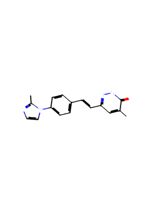 Cc1cc(/C=C/c2ccc(-n3ccnc3C)cc2)n[nH]c1=O